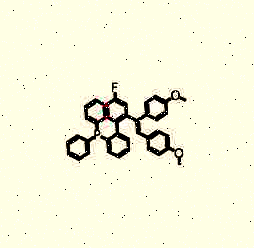 COc1ccc(/C=C(\c2ccc(OC)cc2)c2cc(F)ccc2-c2ccccc2P(c2ccccc2)c2ccccc2)cc1